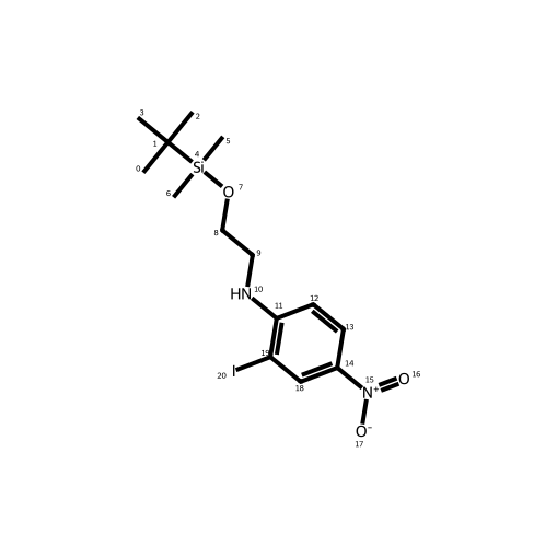 CC(C)(C)[Si](C)(C)OCCNc1ccc([N+](=O)[O-])cc1I